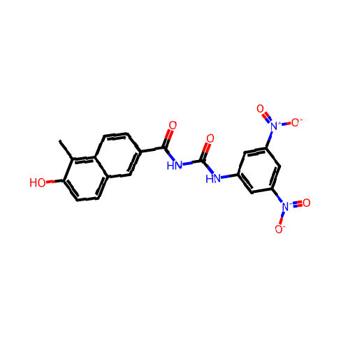 Cc1c(O)ccc2cc(C(=O)NC(=O)Nc3cc([N+](=O)[O-])cc([N+](=O)[O-])c3)ccc12